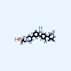 CC1=C(C)C(c2cc3[nH]c4ccc(C5CCN(CC(C)(C)O)CC5)cc4c3cc2C)=CN(C)C1